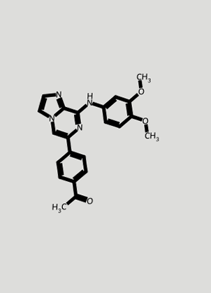 COc1ccc(Nc2nc(-c3ccc(C(C)=O)cc3)cn3ccnc23)cc1OC